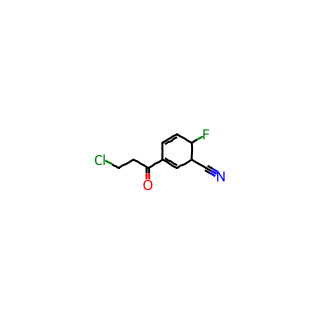 N#CC1C=C(C(=O)CCCl)C=CC1F